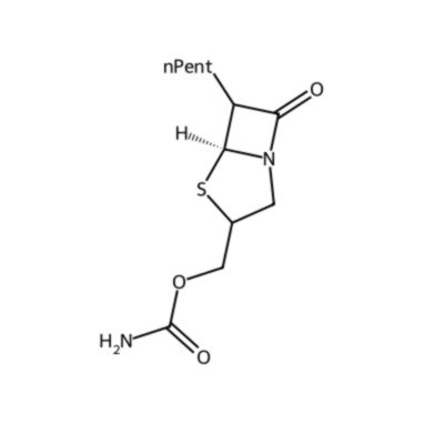 CCCCCC1C(=O)N2CC(COC(N)=O)S[C@@H]12